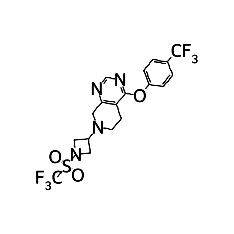 O=S(=O)(N1CC(N2CCc3c(ncnc3Oc3ccc(C(F)(F)F)cc3)C2)C1)C(F)(F)F